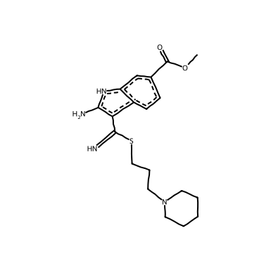 COC(=O)c1ccc2c(C(=N)SCCCN3CCCCC3)c(N)[nH]c2c1